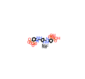 O=S(=O)([O-])c1ccc2[nH]c(-c3ccc(-c4nc5c(S(=O)(=O)O)c(S(=O)(=O)O)ccc5[nH]4)cc3)nc2c1S(=O)(=O)[O-].[Na+].[Na+]